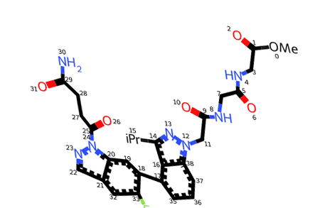 COC(=O)CNC(=O)CNC(=O)Cn1nc(C(C)C)c2c(-c3cc4c(cnn4C(=O)CCC(N)=O)cc3F)cccc21